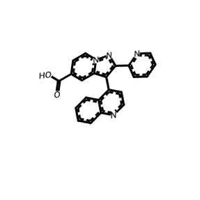 O=C(O)c1ccn2nc(-c3ccccn3)c(-c3ccnc4ccccc34)c2c1